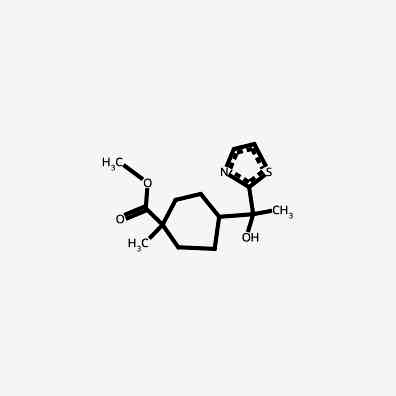 COC(=O)C1(C)CCC(C(C)(O)c2nccs2)CC1